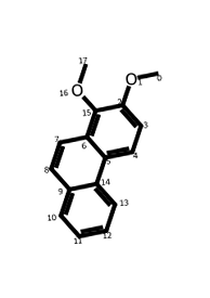 COc1ccc2c(ccc3ccccc32)c1OC